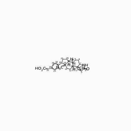 C[C@]12C=CC(=O)NC1CC[C@@H]1[C@H]2CC[C@]2(C)C(c3ccc(CC(=O)O)cc3)CC[C@@H]12